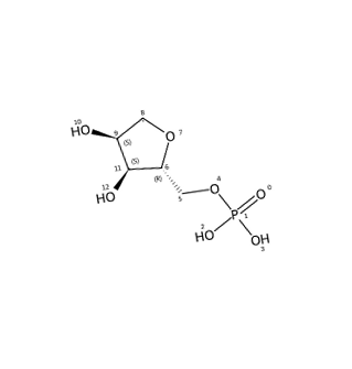 O=P(O)(O)OC[C@H]1O[CH][C@H](O)[C@@H]1O